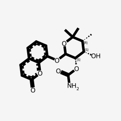 C[C@@H]1[C@H](O)[C@H](OC(N)=O)C(Oc2cccc3ccc(=O)oc23)OC1(C)C